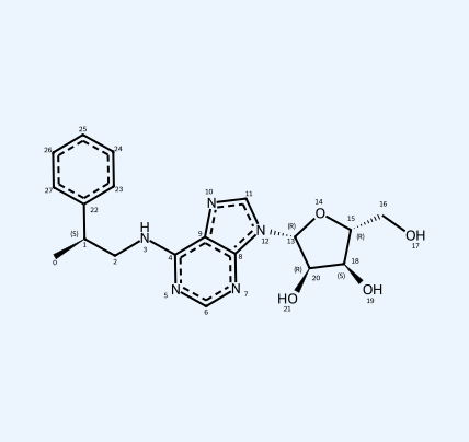 C[C@H](CNc1ncnc2c1ncn2[C@@H]1O[C@H](CO)[C@@H](O)[C@H]1O)c1ccccc1